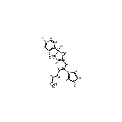 CC1(c2ccc(F)cc2)OC(CC(SCCO)c2ccsc2)=CC1=O